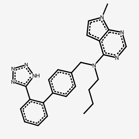 CCCCN(Cc1ccc(-c2ccccc2-c2nnn[nH]2)cc1)c1ncnc2c1ccn2C